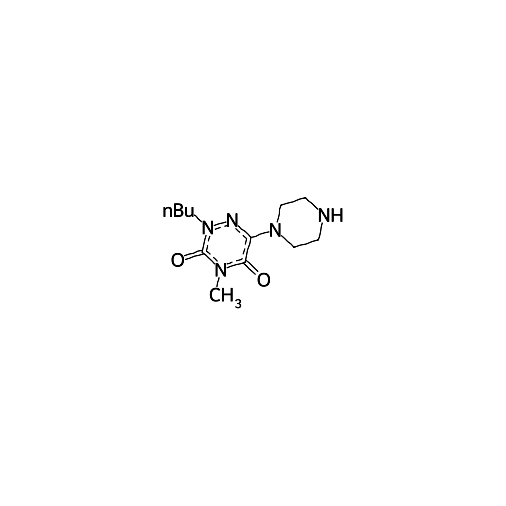 CCCCn1nc(N2CCNCC2)c(=O)n(C)c1=O